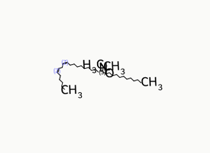 CCCCC/C=C\C/C=C\CCCCCCCCC[C@@H](COCCCCCCCCCC)N(C)C